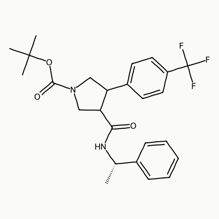 C[C@H](NC(=O)C1CN(C(=O)OC(C)(C)C)CC1c1ccc(C(F)(F)F)cc1)c1ccccc1